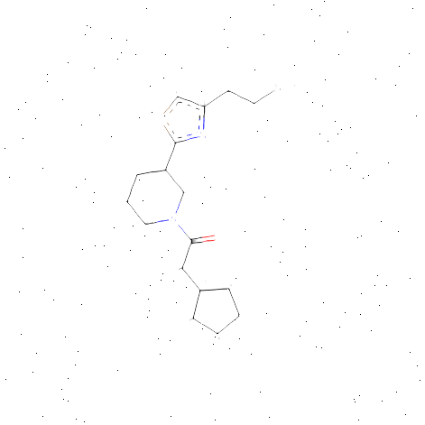 CC(=O)NCCc1csc(C2CCCN(C(=O)CC3CCCC3)C2)n1